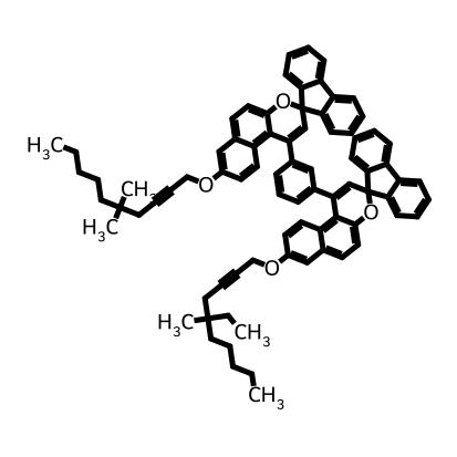 CCCCCC(C)(C)CC#CCOc1ccc2c3c(ccc2c1)OC1(C=C3c2cccc(C3=CC4(Oc5ccc6cc(OCC#CCC(C)(CC)CCCCC)ccc6c53)c3ccccc3-c3ccccc34)c2)c2ccccc2-c2ccccc21